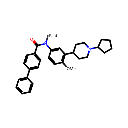 CCCCCN(C(=O)c1ccc(-c2ccccc2)cc1)c1ccc(OC)c(C2CCN(C3CCCC3)CC2)c1